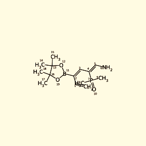 C=C/C(=C\C(=C\N)P(C)(C)=O)B1OC(C)(C)C(C)(C)O1